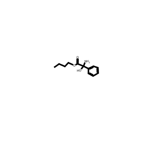 CCCCOC(=O)C(N)(O)c1ccccc1